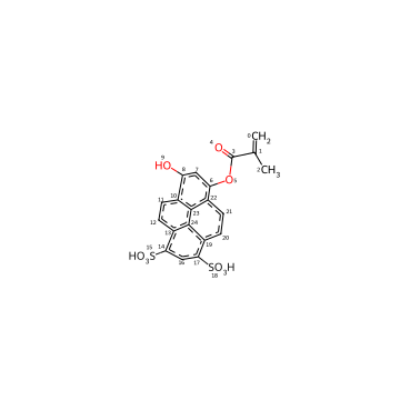 C=C(C)C(=O)Oc1cc(O)c2ccc3c(S(=O)(=O)O)cc(S(=O)(=O)O)c4ccc1c2c34